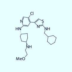 COCCN[C@H]1CC[C@H](Nc2cc(-c3csc(NCC4CCCCC4)n3)c(Cl)cn2)CC1